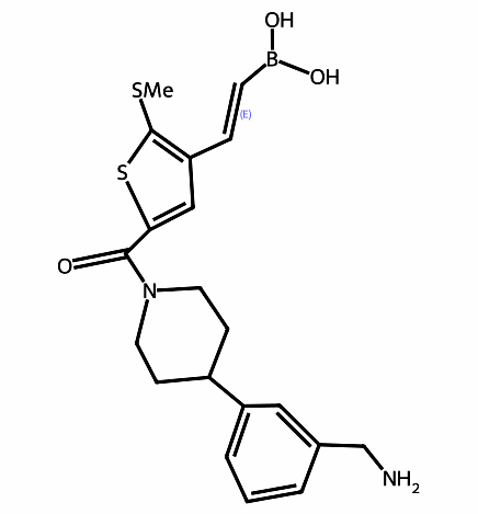 CSc1sc(C(=O)N2CCC(c3cccc(CN)c3)CC2)cc1/C=C/B(O)O